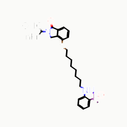 CCCC(C=O)N1Cc2c(SCCCCCCCCNc3ccccc3P(C)(C)=O)cccc2C1=O